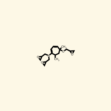 CC1CC(C)(OCC2CO2)C=CC=C1N(CC1CO1)CC1CO1